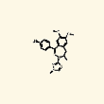 COc1cc2c(cc1OC)C(c1ccc(N)cc1)=NN(c1ncn(C)n1)C(C)C2